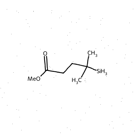 COC(=O)CCC(C)(C)[SiH3]